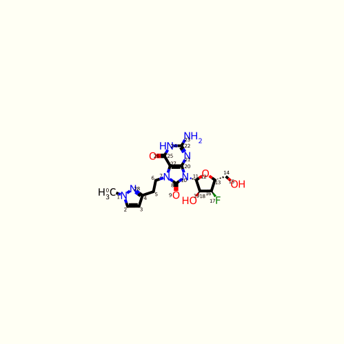 Cn1ccc(CCn2c(=O)n([C@@H]3O[C@H](CO)[C@@H](F)[C@H]3O)c3nc(N)[nH]c(=O)c32)n1